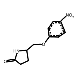 O=C1CCC(COc2ccc([N+](=O)[O-])cc2)N1